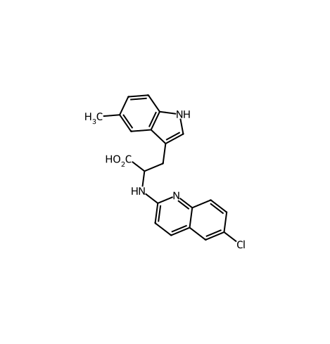 Cc1ccc2[nH]cc(CC(Nc3ccc4cc(Cl)ccc4n3)C(=O)O)c2c1